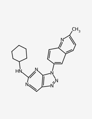 Cc1ccc2cc(-n3nnc4cnc(NC5CCCCC5)nc43)ccc2n1